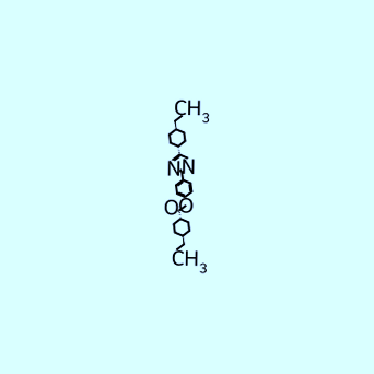 CCC[C@H]1CC[C@H](C(=O)Oc2ccc(-c3ncc([C@H]4CC[C@H](CCC)CC4)cn3)cc2)CC1